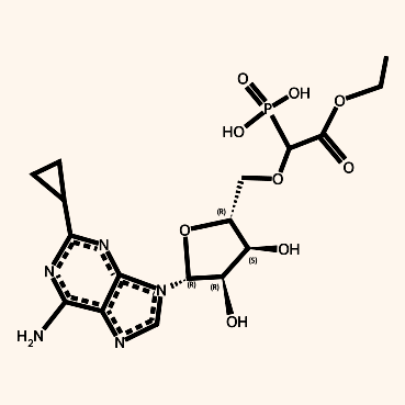 CCOC(=O)C(OC[C@H]1O[C@@H](n2cnc3c(N)nc(C4CC4)nc32)[C@H](O)[C@@H]1O)P(=O)(O)O